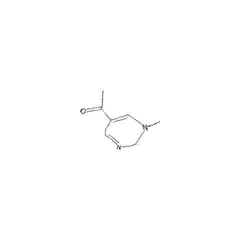 CC(=O)C1=CN(C)[CH]N=C1